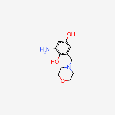 Nc1cc(O)cc(CN2CCOCC2)c1O